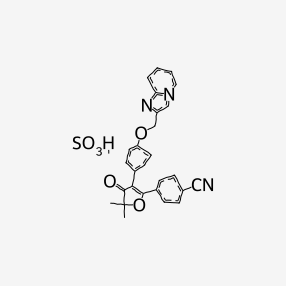 CC1(C)OC(c2ccc(C#N)cc2)=C(c2ccc(OCc3cn4ccccc4n3)cc2)C1=O.CS(=O)(=O)O